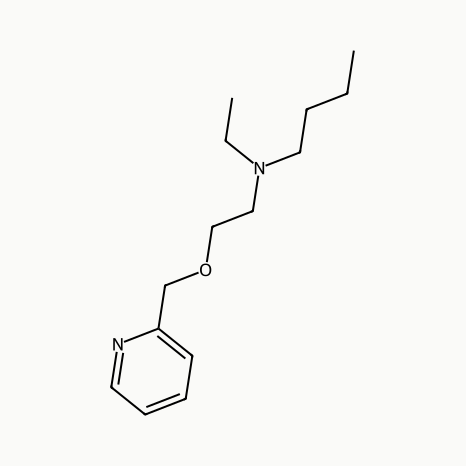 CCCCN(CC)CCOCc1ccccn1